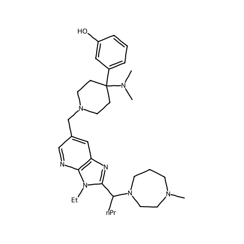 CCCC(c1nc2cc(CN3CCC(c4cccc(O)c4)(N(C)C)CC3)cnc2n1CC)N1CCCN(C)CC1